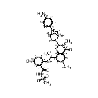 Cc1cc([C@@H](C)Nc2ccc(Cl)nc2C(=O)NS(C)(=O)=O)c2nc(N3C[C@H]4C[C@@H]3CN4c3ccc(N)cn3)n(C)c(=O)c2c1